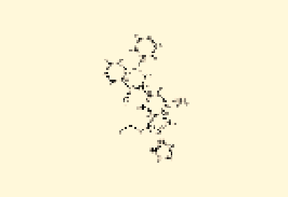 CCCn1c(-n2cccn2)nc2c(N)nc(N(CCc3ccccc3)C(=O)c3ccccc3)nc21